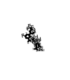 CC(C)c1cc(F)cc(-c2ccnc(C(F)(F)F)c2)c1NC(=O)NS(=O)(=O)c1cc(CN(C)C)n(C(C)C)n1